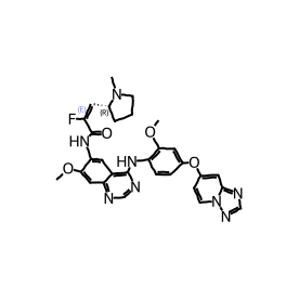 COc1cc2ncnc(Nc3ccc(Oc4ccn5ncnc5c4)cc3OC)c2cc1NC(=O)/C(F)=C\[C@H]1CCCN1C